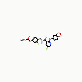 COC(=O)Cc1ccc(CNC(=O)c2cc(F)cnc2Oc2ccc3c(c2)OCO3)c(F)c1